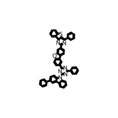 c1ccc(-c2ccc3c(c2)c2ccccc2n3-c2nc(-c3ccccc3)nc(-c3ccc4oc5cc(-c6nc(-c7ccccc7)c7sc8ccccc8c7n6)ccc5c4c3)n2)cc1